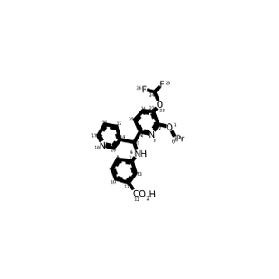 CC(C)Oc1nc(C(Nc2cccc(C(=O)O)c2)c2cccnc2)ccc1OC(F)F